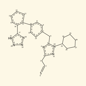 S=CCc1nc(Cc2ccc(-c3ccccc3-c3nnn[nH]3)cc2)n(C2CCCCC2)n1